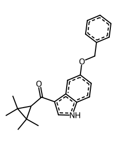 CC1(C)C(C(=O)c2c[nH]c3ccc(OCc4ccccc4)cc23)C1(C)C